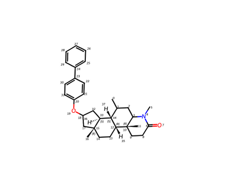 CC1CC2N(C)C(=O)CC[C@]2(C)[C@@H]2CC[C@]3(C)CC(Oc4ccc(-c5ccccc5)cc4)C[C@H]3[C@H]12